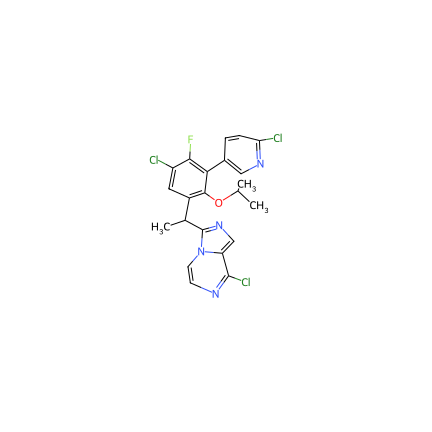 CC(C)Oc1c(C(C)c2ncc3c(Cl)nccn23)cc(Cl)c(F)c1-c1ccc(Cl)nc1